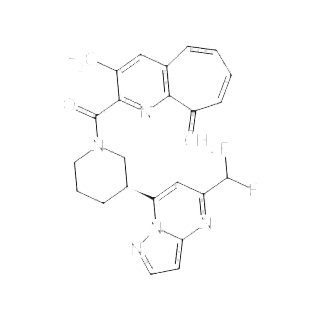 C=C1C=CC=Cc2cc(C(F)(F)F)c(C(=O)N3CCC[C@H](c4cc(C(F)F)nc5ccnn45)C3)nc21